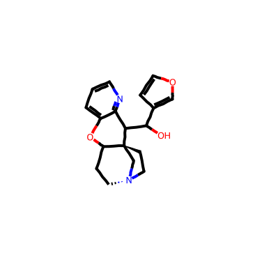 OC(c1ccoc1)C1c2ncccc2OC2CC[N@@]3CC[C@@]21C3